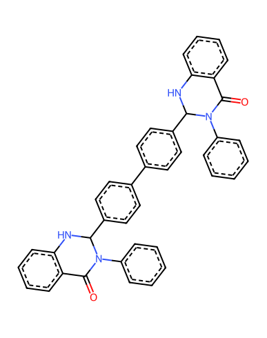 O=C1c2ccccc2NC(c2ccc(-c3ccc(C4Nc5ccccc5C(=O)N4c4ccccc4)cc3)cc2)N1c1ccccc1